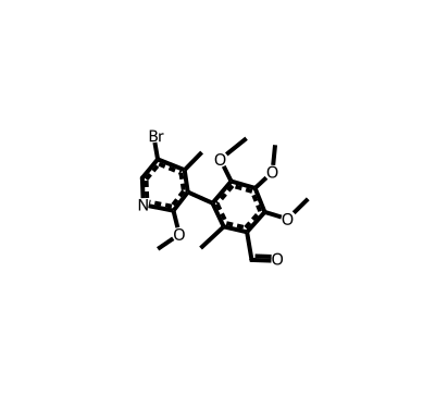 COc1ncc(Br)c(C)c1-c1c(C)c(C=O)c(OC)c(OC)c1OC